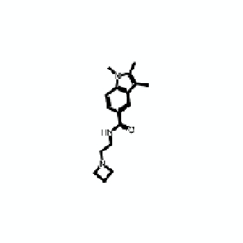 Cc1c(C)n(C)c2ccc(C(=O)NCCN3CCC3)cc12